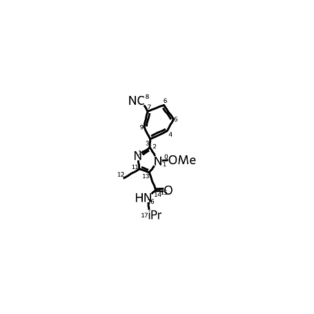 COn1c(-c2cccc(C#N)c2)nc(C)c1C(=O)NC(C)C